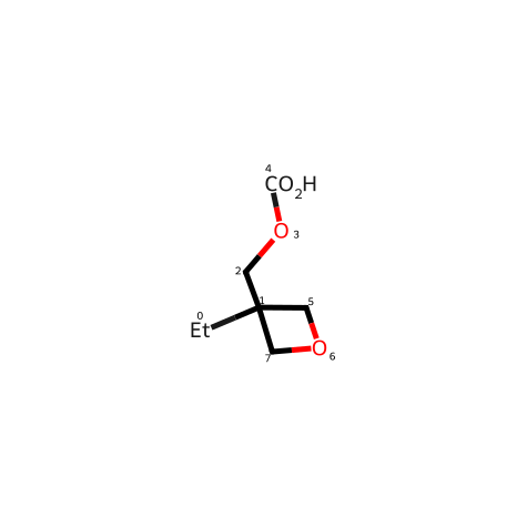 CCC1(COC(=O)O)COC1